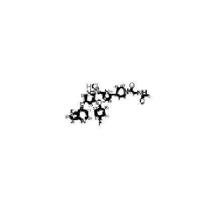 CC(=O)NCC(=O)N1CCC(c2csc(Nc3ncc(Sc4ccnc5ccsc45)cc3Oc3ccc(F)cc3)n2)CC1.Cl